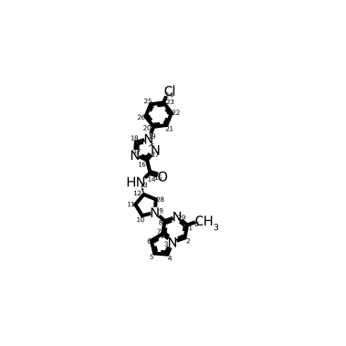 Cc1cn2cccc2c(N2CC[C@H](NC(=O)c3ncn(-c4ccc(Cl)cc4)n3)C2)n1